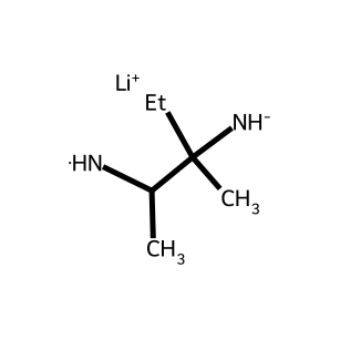 CCC(C)([NH-])C(C)[NH].[Li+]